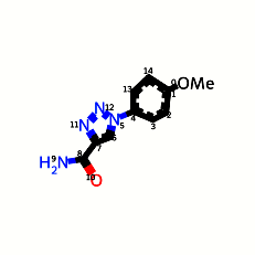 COc1ccc(-n2cc(C(N)=O)nn2)cc1